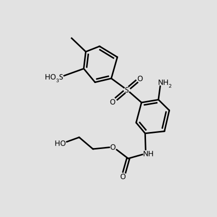 Cc1ccc(S(=O)(=O)c2cc(NC(=O)OCCO)ccc2N)cc1S(=O)(=O)O